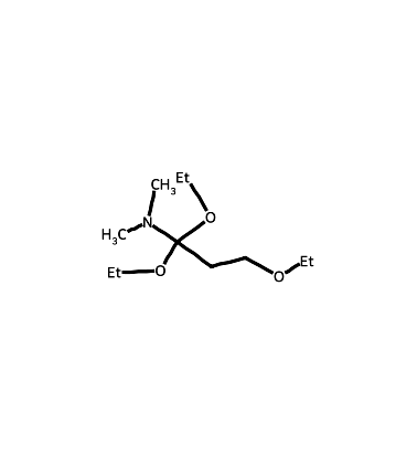 CCOCCC(OCC)(OCC)N(C)C